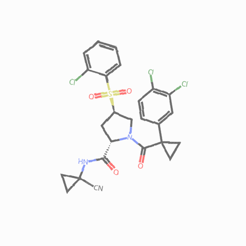 N#CC1(NC(=O)[C@@H]2C[C@@H](S(=O)(=O)c3ccccc3Cl)CN2C(=O)C2(c3ccc(Cl)c(Cl)c3)CC2)CC1